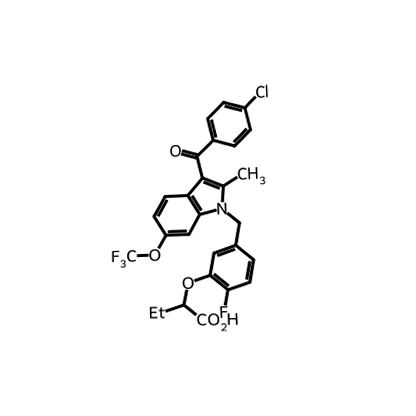 CCC(Oc1cc(Cn2c(C)c(C(=O)c3ccc(Cl)cc3)c3ccc(OC(F)(F)F)cc32)ccc1F)C(=O)O